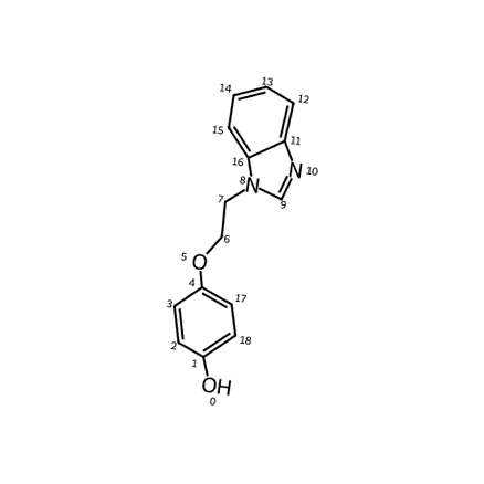 Oc1ccc(OCCn2cnc3ccccc32)cc1